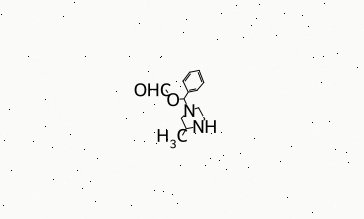 CC1CN(C(OC=O)c2ccccc2)CCN1